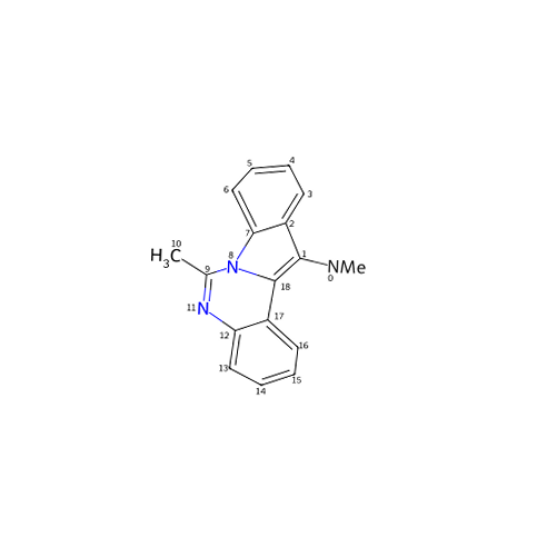 CNc1c2ccccc2n2c(C)nc3ccccc3c12